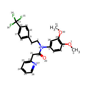 COc1ccc(N(CCc2ccc(C(F)(F)F)cc2)C(=O)Cc2ccccn2)cc1OC